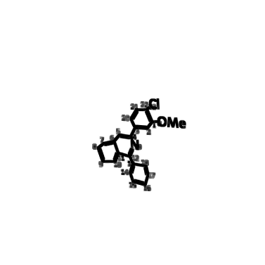 COc1cc(-c2cc3ccccc3c(-c3ccccc3)n2)ccc1Cl